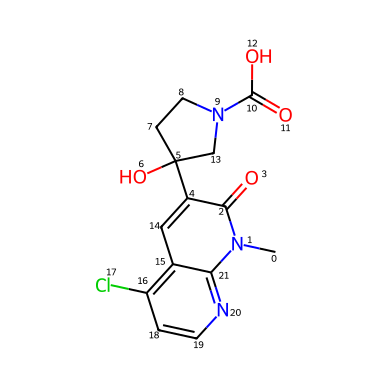 Cn1c(=O)c(C2(O)CCN(C(=O)O)C2)cc2c(Cl)ccnc21